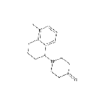 Cc1cccc2c1CCCC2N1CCC(=O)CC1